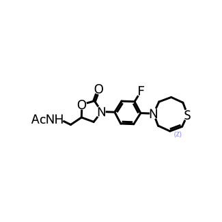 CC(=O)NCC1CN(c2ccc(N3C/C=C\SCCC3)c(F)c2)C(=O)O1